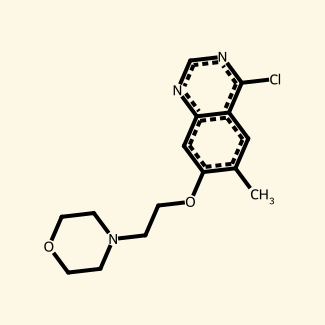 Cc1cc2c(Cl)ncnc2cc1OCCN1CCOCC1